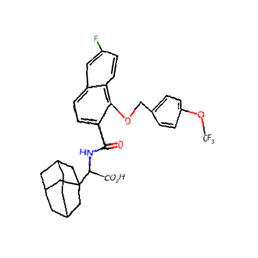 O=C(NC(C(=O)O)C12CC3CC(CC(C3)C1)C2)c1ccc2cc(F)ccc2c1OCc1ccc(OC(F)(F)F)cc1